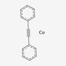 C(#Cc1ccccc1)c1ccccc1.[Co]